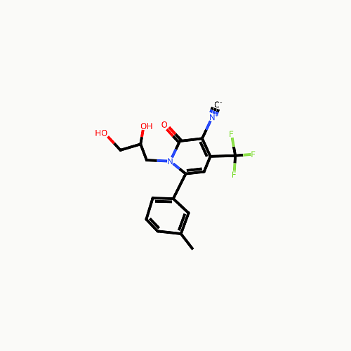 [C-]#[N+]c1c(C(F)(F)F)cc(-c2cccc(C)c2)n(CC(O)CO)c1=O